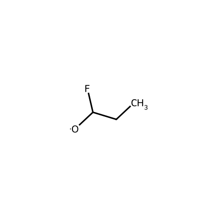 CCC([O])F